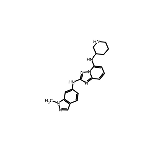 Cn1ncc2ccc(Nc3nc4cccc(N[C@@H]5CCCNC5)n4n3)cc21